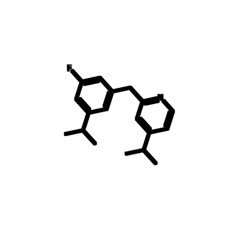 CC(C)c1cc(F)cc(Cc2cc(C(C)C)ccn2)c1